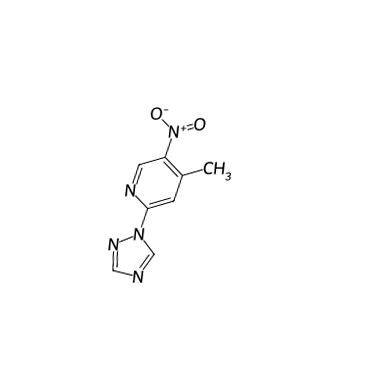 Cc1cc(-n2cncn2)ncc1[N+](=O)[O-]